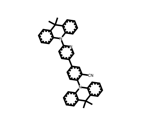 CC1(C)c2ccccc2N(c2ccc(-c3ccc(N4c5ccccc5C(C)(C)c5ccccc54)c(C#N)c3)cn2)c2ccccc21